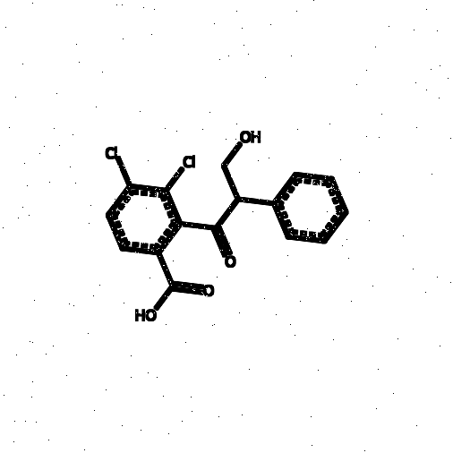 O=C(O)c1ccc(Cl)c(Cl)c1C(=O)C(CO)c1ccccc1